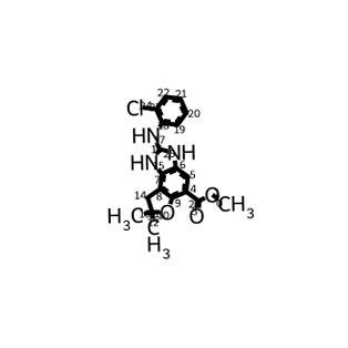 COC(=O)c1cc2c(c3c1OC(C)(C)C3)NC(Nc1ccccc1Cl)N2